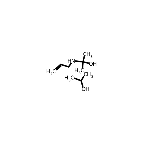 C=CCNC(C)(C)O.CC(C)O